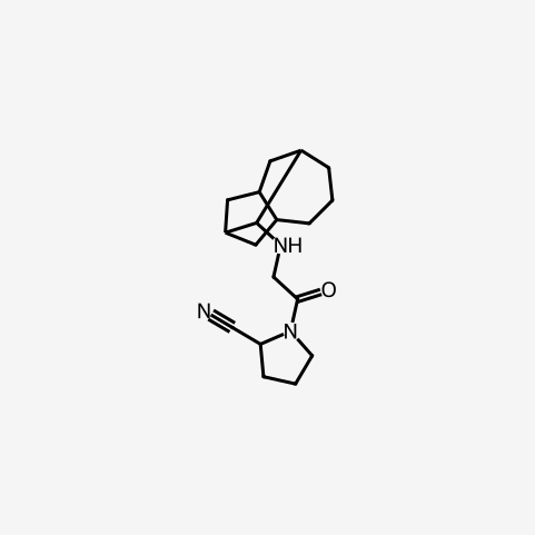 N#CC1CCCN1C(=O)CNC1C2CCCC3CC1CC3C2